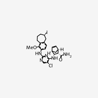 COc1c(Nc2ncc(Cl)c(N[C@H]3[C@@H](C(N)=O)[C@@H]4C=C[C@H]3C4)n2)ccc2c1CCC[C@@H](I)C2